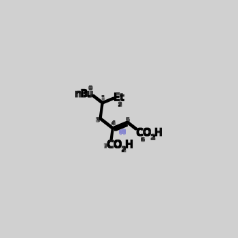 CCCCC(CC)C/C(=C/C(=O)O)C(=O)O